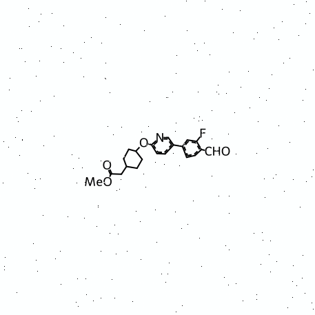 COC(=O)CC1CCC(Oc2ccc(-c3ccc(C=O)c(F)c3)cn2)CC1